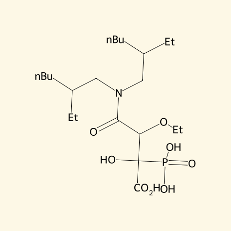 CCCCC(CC)CN(CC(CC)CCCC)C(=O)C(OCC)C(O)(C(=O)O)P(=O)(O)O